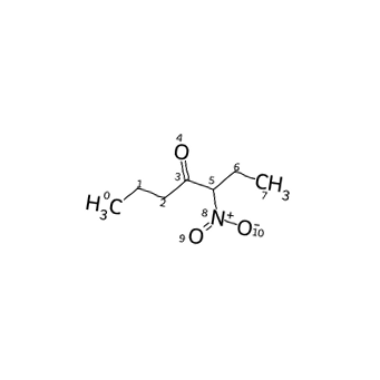 CCCC(=O)C(CC)[N+](=O)[O-]